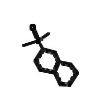 C[S+](C)(=O)c1ccc2ccccc2c1